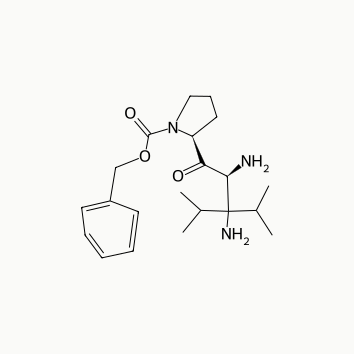 CC(C)C(N)(C(C)C)[C@H](N)C(=O)[C@@H]1CCCN1C(=O)OCc1ccccc1